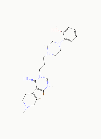 CN1CCc2c(sc3ncn(CCCN4CCN(c5ccccc5O)CC4)c(=N)c23)C1